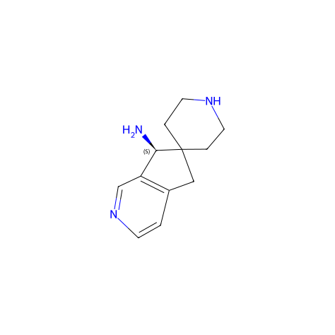 N[C@@H]1c2cnccc2CC12CCNCC2